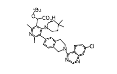 Cc1nc(C)c(C(OC(C)(C)C)C(=O)O)c(N2CCC(C)(C)CC2)c1-c1ccc2c(c1)CCN(c1ncnc3cc(Cl)ccc13)C2